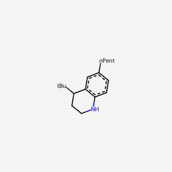 CCCCCc1ccc2c(c1)C(C(C)(C)C)CCN2